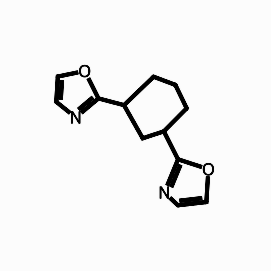 c1coc(C2CCCC(c3ncco3)C2)n1